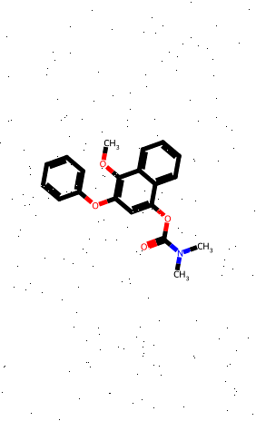 COc1c(Oc2ccccc2)cc(OC(=O)N(C)C)c2ccccc12